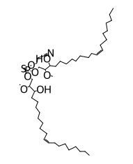 CCCCCCCC/C=C\CCCCCCCCC(O)C(COP(=S)(OCCC#N)OCC(OC)C(O)CCCCCCCC/C=C\CCCCCCCC)OC